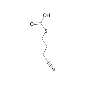 N#CCCCSC(=O)O